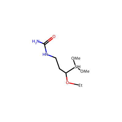 CCOC(CCNC(N)=O)[SiH](OC)OC